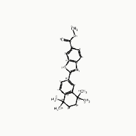 COC(=O)c1ccc2nc(-c3ccc4c(c3)C(C)(C)CCC4(C)C)sc2c1